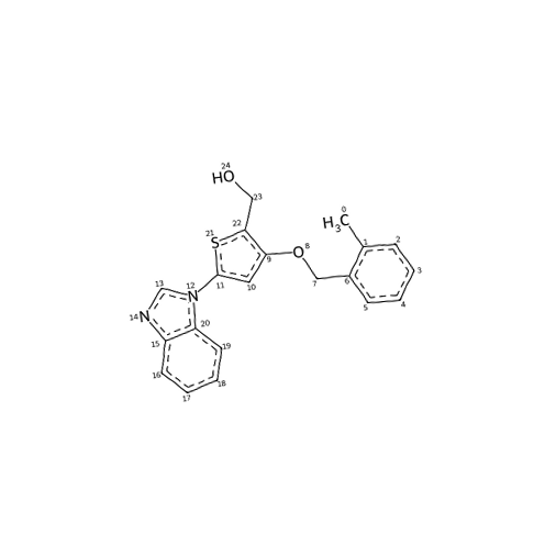 Cc1ccccc1COc1cc(-n2cnc3ccccc32)sc1CO